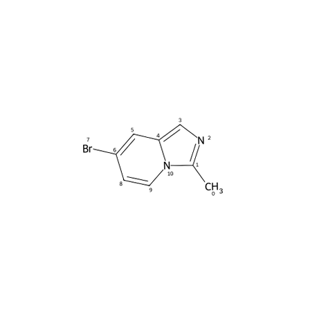 Cc1ncc2cc(Br)ccn12